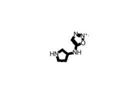 C1=C(NC2CCNC2)O[N+]=N1